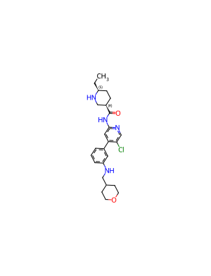 CC[C@H]1CC[C@@H](C(=O)Nc2cc(-c3cccc(NCC4CCOCC4)c3)c(Cl)cn2)CN1